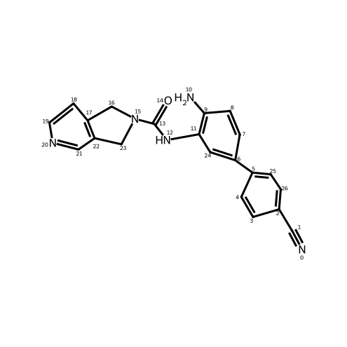 N#Cc1ccc(-c2ccc(N)c(NC(=O)N3Cc4ccncc4C3)c2)cc1